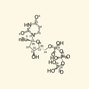 CCCC[C@]1(n2ccc(=O)[nH]c2=O)C[C@H](O)[C@@H](COP(=O)(O)OP(=O)(O)OP(=O)(O)O)O1